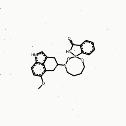 COc1ccc2[nH]cc3c2c1CC(N1CCCCOS2(NC(=O)c4ccccc42)O1)C3